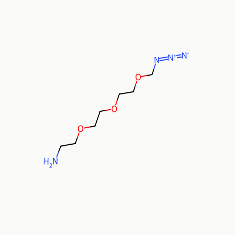 [N-]=[N+]=NCOCCOCCOCCN